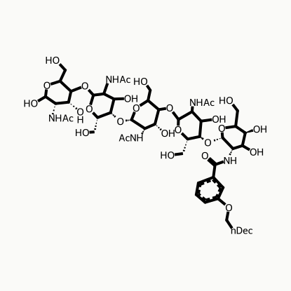 CCCCCCCCCCCOc1cccc(C(=O)N[C@H]2C(O)[C@H](O)C(CO)O[C@H]2O[C@H]2C(O)C(NC(C)=O)C(OC3C(CO)O[C@@H](O[C@H]4C(O)C(NC(C)=O)C(OC5C(CO)OC(O)[C@@H](NC(C)=O)[C@H]5O)O[C@H]4CO)[C@@H](NC(C)=O)[C@H]3O)O[C@H]2CO)c1